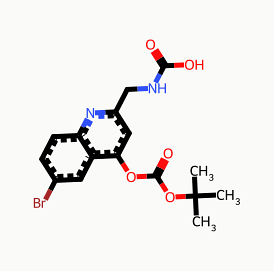 CC(C)(C)OC(=O)Oc1cc(CNC(=O)O)nc2ccc(Br)cc12